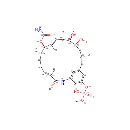 CO[C@H]1C[C@H](C)Cc2cc(cc(OP(=O)(O)OC)c2)NC(=O)/C(C)=C/CC[C@H](C)[C@@H](OC(N)=O)/C(C)=C/[C@H](C)[C@H]1O